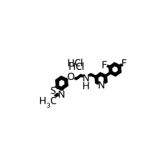 Cc1nc2cc(OCCNCc3cncc(-c4ccc(F)cc4F)c3)ccc2s1.Cl.Cl